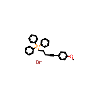 COc1ccc(C#CCCC[P+](c2ccccc2)(c2ccccc2)c2ccccc2)cc1.[Br-]